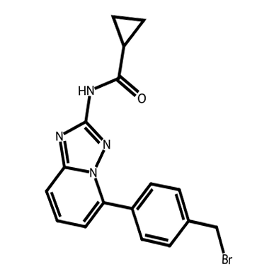 O=C(Nc1nc2cccc(-c3ccc(CBr)cc3)n2n1)C1CC1